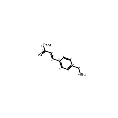 CCCC(C)C(=O)/C=C/c1ccc(CC(C)(C)C)cc1